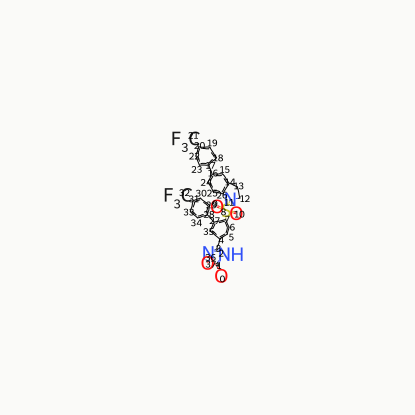 O=c1[nH]c(-c2ccc(S(=O)(=O)N3CCc4cc(-c5ccc(C(F)(F)F)cc5)ccc43)c(-c3ccc(C(F)(F)F)cc3)c2)no1